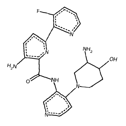 Nc1ccc(-c2ncccc2F)nc1C(=O)Nc1cnccc1N1CCC(O)C(N)C1